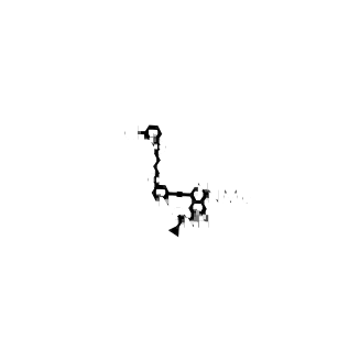 CNc1ncc(C#Cc2cc(OCCCCOc3cccc(Cl)n3)ccn2)c2cc(NC(=O)C3CC3)ncc12